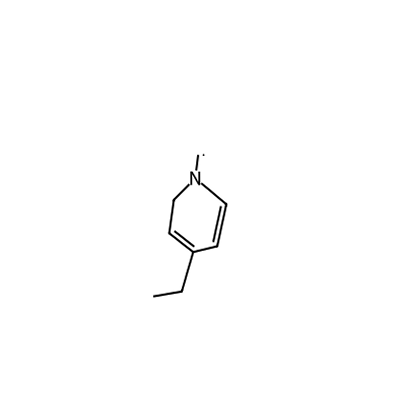 [CH2]N1C=CC(CC)=CC1